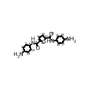 Nc1ccc(NC(=O)c2ccc(C(=O)Nc3ccc(N)cc3)o2)cc1